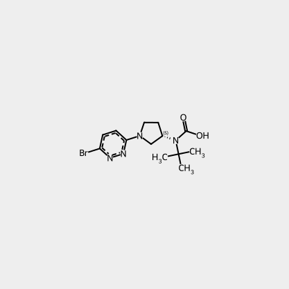 CC(C)(C)N(C(=O)O)[C@H]1CCN(c2ccc(Br)nn2)C1